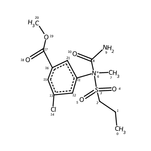 CCCS(=O)(=O)[N+](C)(C(N)=O)c1cc(Cl)cc(C(=O)OC)c1